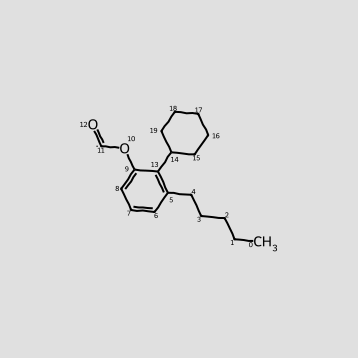 CCCCCc1cccc(O[C]=O)c1C1CCCCC1